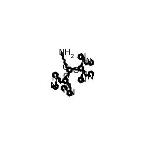 NCCCCCCOc1cc(COc2cc(CN(Cc3ccccn3)Cc3ccccn3)cc(CN(Cc3ccccn3)Cc3ccccn3)c2)cc(COc2cc(CN(Cc3ccccn3)Cc3ccccn3)cc(CN(Cc3ccccn3)c3ccccn3)c2)c1